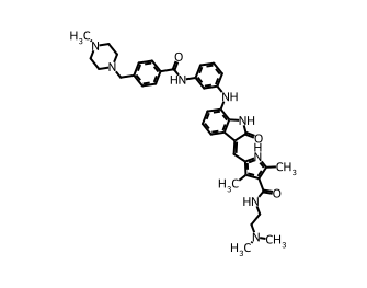 Cc1[nH]c(C=C2C(=O)Nc3c(Nc4cccc(NC(=O)c5ccc(CN6CCN(C)CC6)cc5)c4)cccc32)c(C)c1C(=O)NCCN(C)C